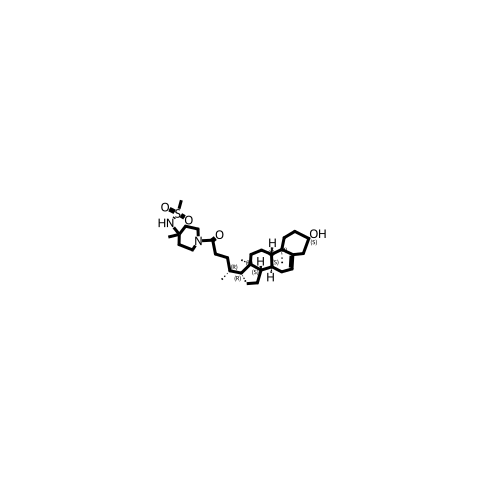 C[C@H](CCC(=O)N1CCC(C)(NS(C)(=O)=O)CC1)[C@H]1CC[C@H]2[C@@H]3CC=C4C[C@@H](O)CC[C@]4(C)[C@H]3CC[C@]12C